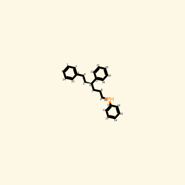 c1ccc(CC[C@H](CCCPc2ccccc2)c2ccccc2)cc1